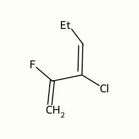 C=C(F)/C(Cl)=C\CC